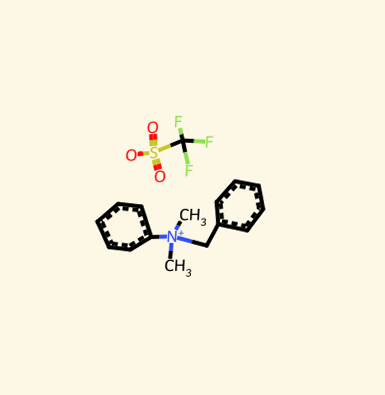 C[N+](C)(Cc1ccccc1)c1ccccc1.O=S(=O)([O-])C(F)(F)F